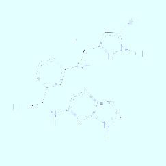 CC(C)c1cc(C(=O)Nc2cccc([C@H](C)Nc3cnc4cnn(C)c4n3)c2)nn1C